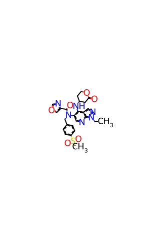 CCn1ncc2c(NC3CCOC(=O)C3)c(N(Cc3ccc(S(C)(=O)=O)cc3)C(=O)c3cocn3)cnc21